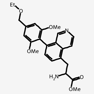 CCOCc1cc(OC)c(-c2ccc(CC(N)C(=O)OC)c3ccncc23)c(OC)c1